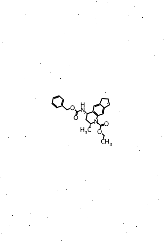 CCOC(=O)N1c2cc3c(cc2[C@H](NC(=O)OCc2ccccc2)C[C@@H]1C)CCC3